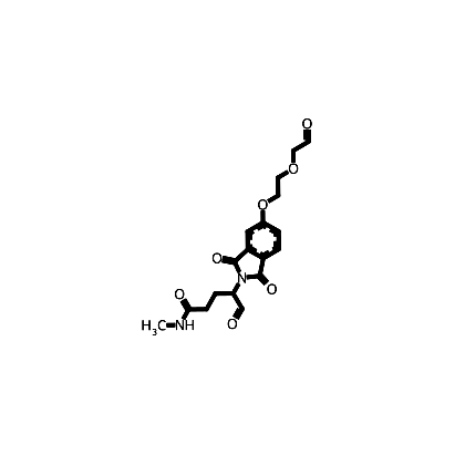 CNC(=O)CCC(C=O)N1C(=O)c2ccc(OCCOCC=O)cc2C1=O